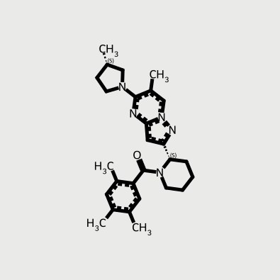 Cc1cc(C)c(C(=O)N2CCCC[C@H]2c2cc3nc(N4CC[C@H](C)C4)c(C)cn3n2)cc1C